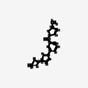 CN1CC(Nc2cc(-c3cnn(C4CNC4)c3)ccn2)C=N1